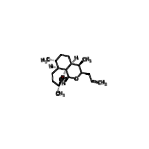 C=CC[C@H]1O[C@@H]2O[C@]3(C)CC[C@H]4[C@H](C)CC[C@@H]([C@H]1C)[C@@]24OO3